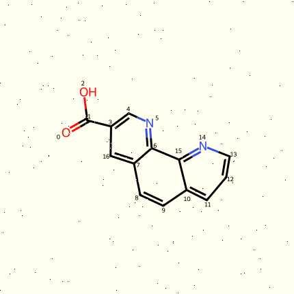 O=C(O)c1cnc2c(ccc3cccnc32)c1